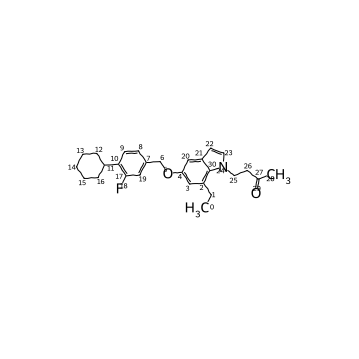 CCc1cc(OCc2ccc(C3CCCCC3)c(F)c2)cc2ccn(CCC(C)=O)c12